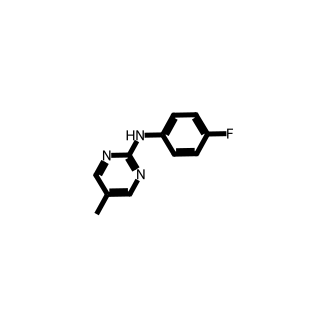 Cc1cnc(Nc2ccc(F)cc2)nc1